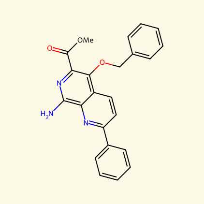 COC(=O)c1nc(N)c2nc(-c3ccccc3)ccc2c1OCc1ccccc1